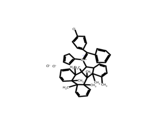 CC1=CC=CC2[CH](/[Zr+2]([C]3=CC=CC3)=[C](\c3ccccc3)c3ccc(Cl)cc3)C3(C)C4(C)C=CC=CC4(C)C4(C)C=CC=CC4(C)C3(C)C12C.[Cl-].[Cl-]